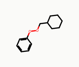 c1ccc(OOCC2CCCCC2)cc1